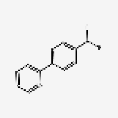 FC(F)c1ccc(-c2ccccn2)cc1